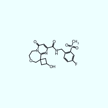 CS(=O)(=O)c1cc(F)ccc1CNC(=O)c1cc(=O)n2c(n1)C1(COCC2)CC(O)C1